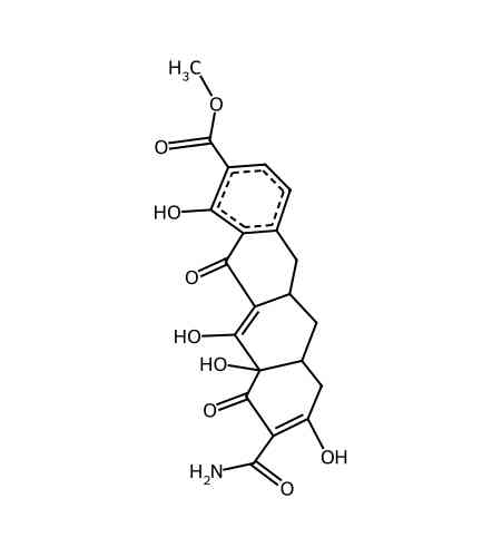 COC(=O)c1ccc2c(c1O)C(=O)C1=C(O)C3(O)C(=O)C(C(N)=O)=C(O)CC3CC1C2